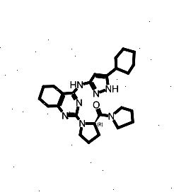 O=C([C@H]1CCCN1c1nc2c(c(Nc3cc(C4CCCCC4)[nH]n3)n1)CCCC2)N1CCCC1